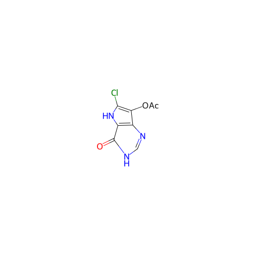 CC(=O)Oc1c(Cl)[nH]c2c(=O)[nH]cnc12